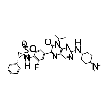 CC(C)n1c(=O)c(-c2ccc(N[C@]3([SH](=O)=O)C[C@H]3c3ccccc3)c(F)c2)nc2cnc(N[C@H]3CC[C@H](N(C)C)CC3)nc21